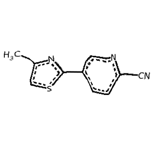 Cc1csc(-c2ccc(C#N)nc2)n1